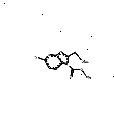 COCc1nc2nc(Br)ccc2n1C(=O)OC(C)(C)C